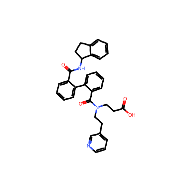 O=C(O)CCN(CCc1cccnc1)C(=O)c1ccccc1-c1ccccc1C(=O)NC1CCc2ccccc21